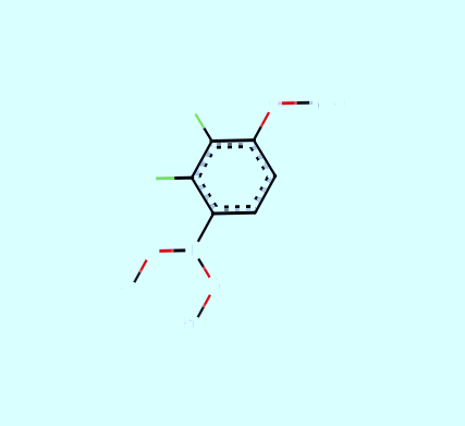 CCCCCCCCOc1cc[c]([Ti]([O]C(C)C)[O]C(C)C)c(F)c1F